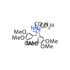 COc1cc(CC(CN)(Cc2cc(OC)c(OC)c(OC)c2)N(CC(=O)O)CC(=O)O)cc(OC)c1OC